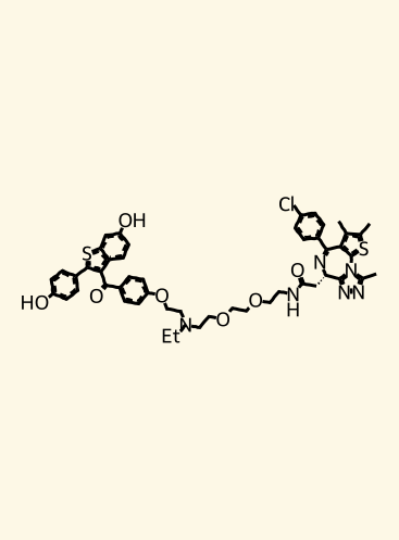 CCN(CCOCCOCCNC(=O)C[C@@H]1N=C(c2ccc(Cl)cc2)c2c(sc(C)c2C)-n2c(C)nnc21)CCOc1ccc(C(=O)c2c(-c3ccc(O)cc3)sc3cc(O)ccc23)cc1